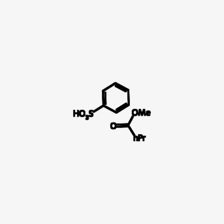 CCCC(=O)OC.O=S(=O)(O)c1ccccc1